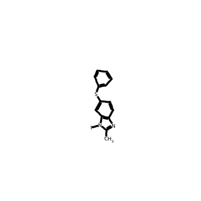 Cc1nc2ccc(Sc3ccccc3)cc2n1I